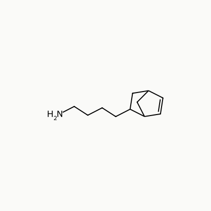 NCCCCC1CC2C=CC1C2